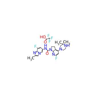 Cc1cn2cc(NC(=O)N3CCc4c(N5CCNC(C)(C)C5)cc(F)nc43)cc(F)c2n1.O=C(O)C(F)(F)F